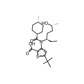 CC[C@H](CC[C@@H](C)O)N(c1cc(C(C)(C)C)sc1C(=O)O)C(=O)[C@H]1CC[C@H](C)CC1